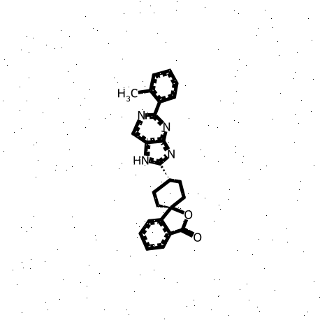 Cc1ccccc1-c1ncc2[nH]c([C@H]3CC[C@@]4(CC3)OC(=O)c3ccccc34)nc2n1